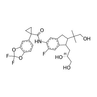 CC(C)(CO)C1Cc2cc(NC(=O)C3(c4ccc5c(c4)OC(F)(F)O5)CC3)c(F)cc2C1C[C@@H](O)CO